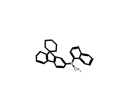 CN(c1ccc2c(c1)C1(CCCCC1)C1=C2C=CCC1)c1cccc2ccccc12